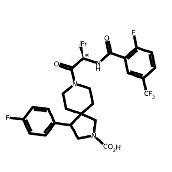 CC(C)[C@@H](NC(=O)c1cc(C(F)(F)F)ccc1F)C(=O)N1CCC2(CC1)CN(C(=O)O)CC2c1ccc(F)cc1